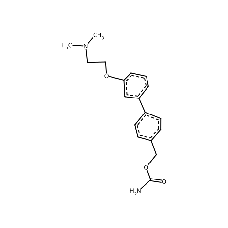 CN(C)CCOc1cccc(-c2ccc(COC(N)=O)cc2)c1